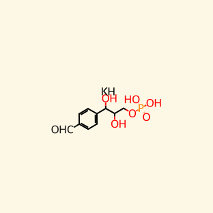 O=Cc1ccc(C(O)C(O)COP(=O)(O)O)cc1.[KH]